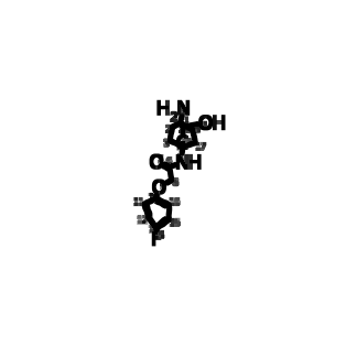 NC12CCC(NC(=O)COc3ccc(F)cc3)(CC1)CC2O